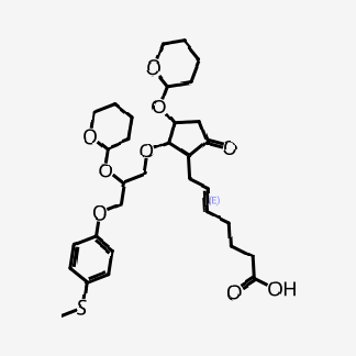 CSc1ccc(OCC(COC2C(OC3CCCCO3)CC(=O)C2C/C=C/CCCC(=O)O)OC2CCCCO2)cc1